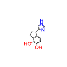 Oc1ccc2c(c1O)CCC2c1c[nH]cn1